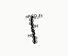 C=CC(=O)OCCC(=O)OCC(O)COCC1CCC(COCC(O)COC(=O)CCOC(=O)CCC(CCC)(C(C)=O)C(=O)OCC)CC1